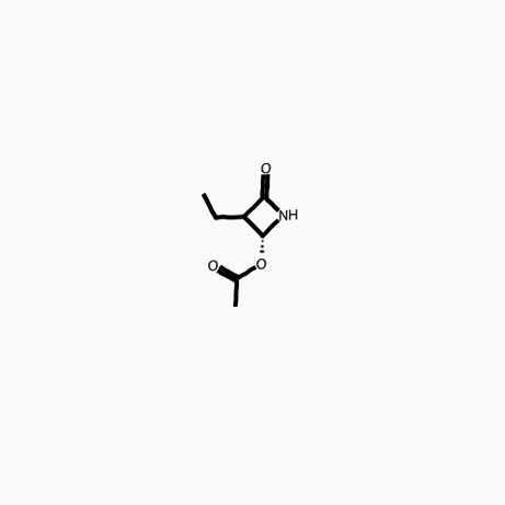 CCC1C(=O)N[C@@H]1OC(C)=O